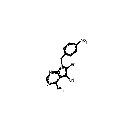 N#Cc1c(Br)n(Cc2ccc([N+](=O)[O-])cc2)c2ncnc(N)c12